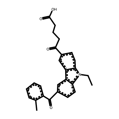 CCn1c2ccc(C(=O)CCCC(=O)O)cc2c2cc(C(=O)c3ccccc3C)ccc21